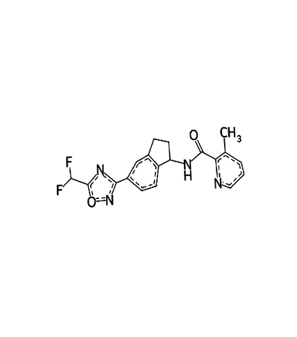 Cc1cccnc1C(=O)NC1CCc2cc(-c3noc(C(F)F)n3)ccc21